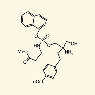 CCCCCCCCc1ccc(CCC(N)(CO)COP(=O)(NCCC(=O)OC)Oc2cccc3ccccc23)cc1